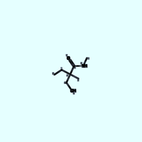 CCC(C)(CO)C(=O)NC